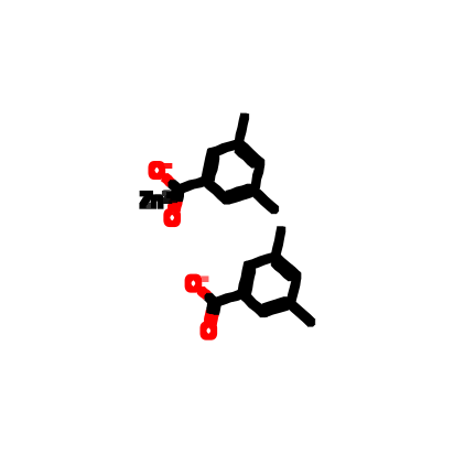 Cc1cc(C)cc(C(=O)[O-])c1.Cc1cc(C)cc(C(=O)[O-])c1.[Zn+2]